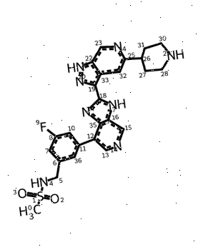 CS(=O)(=O)NCc1cc(F)cc(-c2cncc3[nH]c(-c4n[nH]c5cnc(C6CCNCC6)cc45)nc23)c1